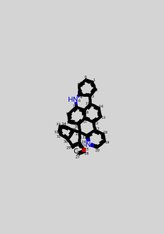 c1ccc2c(c1)Nc1ccc3c4c(ccc-2c14)-c1cccnc1C31c2ccccc2-c2ccccc21